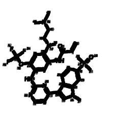 C=CC(=O)Nc1cc(Nc2nccc(-c3cn(C)c4cc(P(C)(C)=O)ccc34)n2)c(OC(F)(F)F)cc1N(C)CCN(C)C